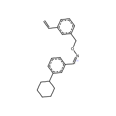 C=Cc1cccc(CO/N=[C]\c2cccc(C3CCCCC3)c2)c1